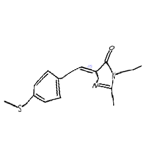 CSc1ccc(/C=C2\N=C(C)N(C)C2=O)cc1